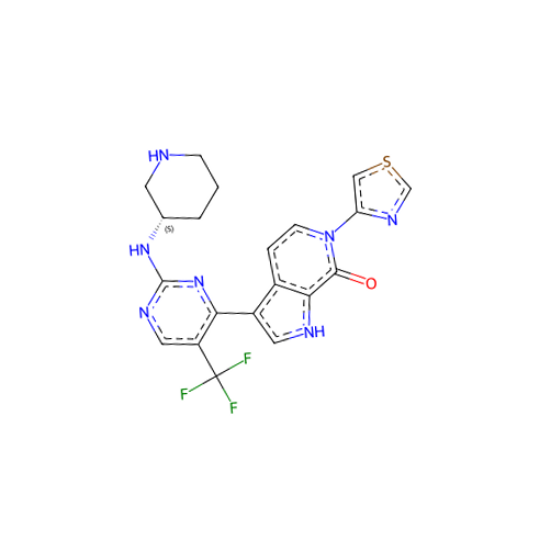 O=c1c2[nH]cc(-c3nc(N[C@H]4CCCNC4)ncc3C(F)(F)F)c2ccn1-c1cscn1